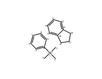 C[N+](C)(C)c1ccccc1.c1ccc2c(c1)CCC2